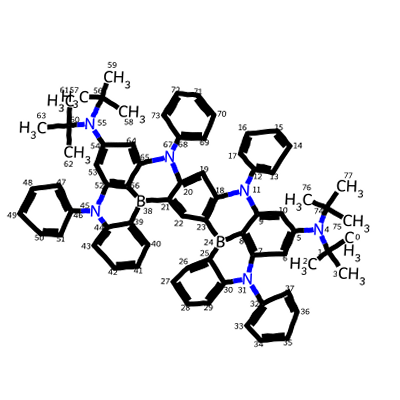 CC(C)(C)N(c1cc2c3c(c1)N(c1ccccc1)c1cc4c(cc1B3c1ccccc1N2c1ccccc1)B1c2ccccc2N(c2ccccc2)c2cc(N(C(C)(C)C)C(C)(C)C)cc(c21)N4c1ccccc1)C(C)(C)C